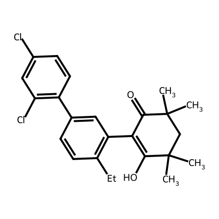 CCc1ccc(-c2ccc(Cl)cc2Cl)cc1C1=C(O)C(C)(C)CC(C)(C)C1=O